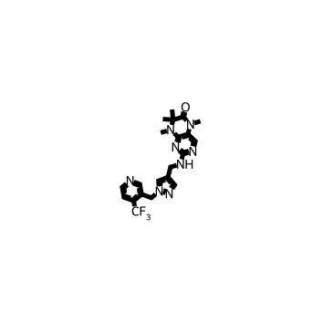 CN1C(=O)C(C)(C)N(C)c2nc(NCc3cnn(Cc4cnccc4C(F)(F)F)c3)ncc21